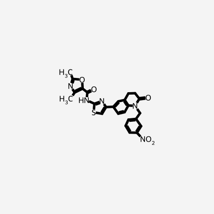 Cc1nc(C)c(C(=O)Nc2nc(-c3ccc4c(c3)CCC(=O)N4Cc3cccc([N+](=O)[O-])c3)cs2)o1